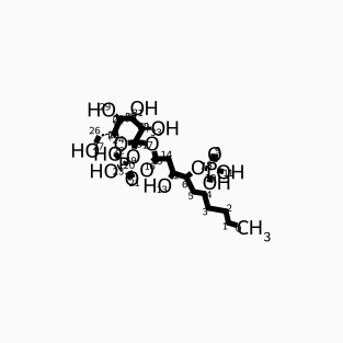 CCCCCCC(OP(=O)(O)O)C(O)CC(=O)OC1(OP(=O)(O)O)O[C@H](CO)[C@@H](O)[C@H](O)[C@H]1O